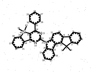 CC1(C)c2ccccc2-c2ccc3c(c21)c1ccccc1n3-c1nc(-c2ccccc2)c2c(n1)-c1ccccc1[Si]2(C)C